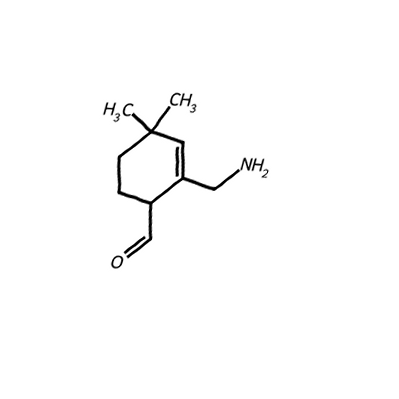 CC1(C)C=C(CN)C(C=O)CC1